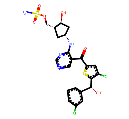 NS(=O)(=O)OC[C@H]1C[C@@H](Nc2ncncc2C(=O)c2cc(Cl)c([C@H](O)c3cccc(Cl)c3)s2)C[C@@H]1O